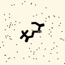 C=C(CC)NCCC(=C)C(C)(C)C